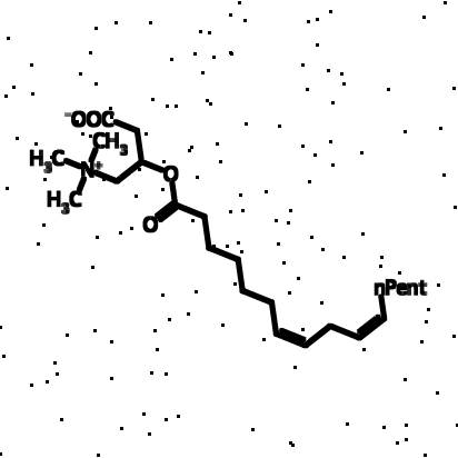 CCCCC/C=C\C/C=C\CCCCCC(=O)OC(CC(=O)[O-])C[N+](C)(C)C